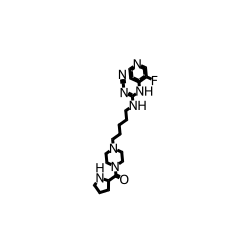 N#CN=C(NCCCCCN1CCN(C(=O)C2CCCN2)CC1)Nc1ccncc1F